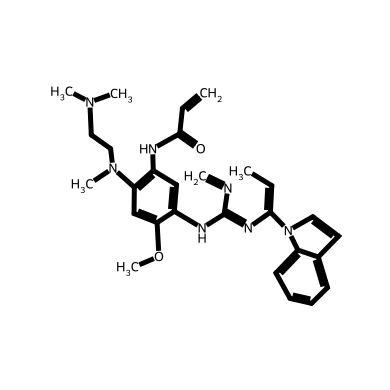 C=CC(=O)Nc1cc(N/C(N=C)=N/C(=C\C)n2ccc3ccccc32)c(OC)cc1N(C)CCN(C)C